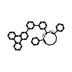 C1=C(c2ccccc2)/N=C(c2cccc(-c3cccc(-c4ccc5c6ccccc6c6ccccc6c5c4)c3)c2)\N=C(\c2ccccc2)CCCC\1